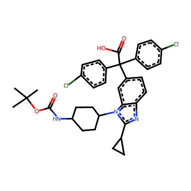 CC(C)(C)OC(=O)NC1CCC(n2c(C3CC3)nc3ccc(C(C(=O)O)(c4ccc(Cl)cc4)c4ccc(Cl)cc4)cc32)CC1